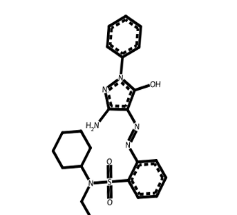 CCN(C1CCCCC1)S(=O)(=O)c1ccccc1/N=N/c1c(N)nn(-c2ccccc2)c1O